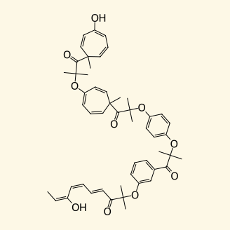 C\C=C(O)/C=C\C=C\C(=O)C(C)(C)Oc1cccc(C(=O)C(C)(C)Oc2ccc(OC(C)(C)C(=O)C3(C)C=CC=C(OC(C)(C)C(=O)C4(C)C=CC=C(O)C=C4)C=C3)cc2)c1